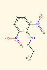 [CH2]CCNc1c([N+](=O)[O-])cccc1[N+](=O)[O-]